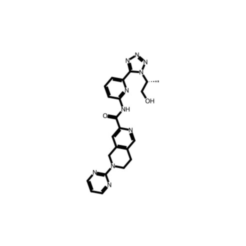 C[C@H](CO)n1nnnc1-c1cccc(NC(=O)c2cc3c(cn2)CCN(c2ncccn2)C3)n1